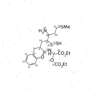 CCOC(=O)OC(NC(=O)C(Cc1ccccc1)CC(SS)C(N)CCSC)C(=O)OCC